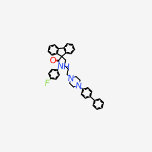 O=C(Nc1ccc(F)cc1)C1(CCCCN2CCN(c3ccc(-c4ccccc4)cc3)CC2)c2ccccc2-c2ccccc21